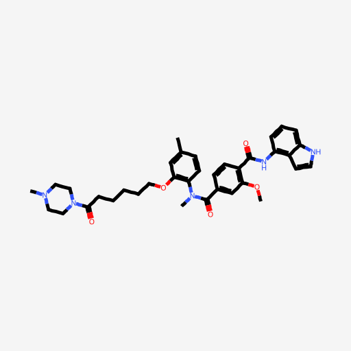 COc1cc(C(=O)N(C)c2ccc(C)cc2OCCCCCC(=O)N2CCN(C)CC2)ccc1C(=O)Nc1cccc2[nH]ccc12